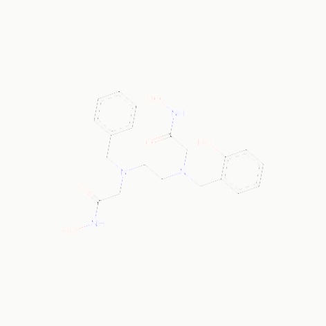 O=C(CN(CCN(CC(=O)NO)Cc1ccccc1O)Cc1ccccc1)NO